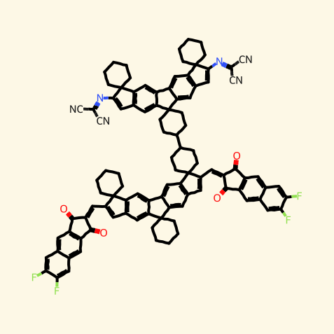 N#CC(C#N)=NC1=Cc2cc3c(cc2C12CCCCC2)-c1cc2c(cc1C31CCC(C3CCC4(CC3)C(C=C3C(=O)c5cc6cc(F)c(F)cc6cc5C3=O)=Cc3cc5c(cc34)-c3cc4c(cc3C53CCCCC3)C=C(C=C3C(=O)c5cc6cc(F)c(F)cc6cc5C3=O)C43CCCCC3)CC1)C=C(N=C(C#N)C#N)C21CCCCC1